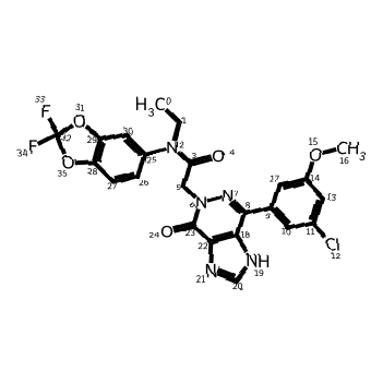 CCN(C(=O)Cn1nc(-c2cc(Cl)cc(OC)c2)c2[nH]cnc2c1=O)c1ccc2c(c1)OC(F)(F)O2